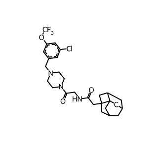 O=C(CC12CC3CC4CC(C1)C2(C4)C3)NCC(=O)N1CCN(Cc2cc(Cl)cc(OC(F)(F)F)c2)CC1